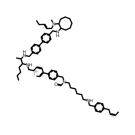 C/C=C\Cc1ccc(CNCCCCCCN(C=O)Cc2ccc(C(/C=C\[C@H](C)CNC(CCCC)C(C)NCc3ccc(-c4ccc(CNC5CCCCCCC5N(C)C/C=C/CC)cc4)cc3)=C/C)cc2)cc1